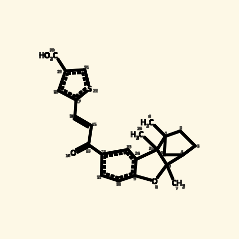 CC12CCC(C1)C1(C)Oc3ccc(C(=O)C=Cc4cc(C(=O)O)cs4)cc3C21C